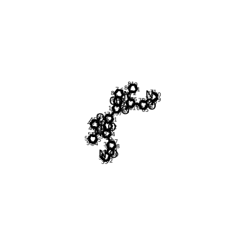 c1ccc(N2c3cccc4c3B3c5c(cc(-c6cc7c8c(c6)Oc6cc(-c9ccc%10oc%11cccnc%11c%10c9)cc9c6B8c6c(cccc6N9c6ccccc6)O7)cc5Oc5cc(-c6ccc7oc8cccnc8c7c6)cc2c53)O4)cc1